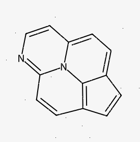 c1cc2ccc3ccc4ccc(n1)n2c34